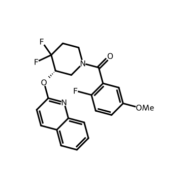 COc1ccc(F)c(C(=O)N2CCC(F)(F)[C@@H](Oc3ccc4ccccc4n3)C2)c1